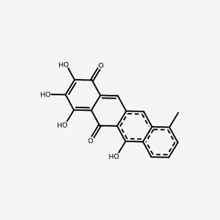 Cc1cccc2c(O)c3c(cc12)C=C1C(=O)C(O)=C(O)C(O)=C1C3=O